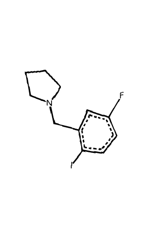 Fc1ccc(I)c(CN2CCCC2)c1